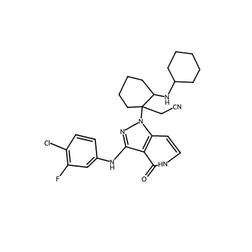 N#CCC1(n2nc(Nc3ccc(Cl)c(F)c3)c3c(=O)[nH]ccc32)CCCCC1NC1CCCCC1